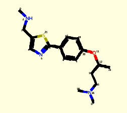 CNCc1cnc(-c2ccc(OC(C)CCN(C)C)cc2)s1